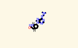 CN(C)C=Nc1ncnc2c1ncn2[C@@H]1CC[C@H]2CC(=O)N[C@@H]1C2